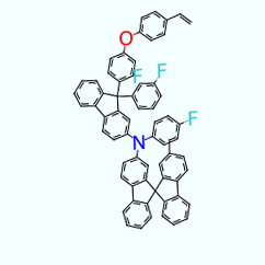 C=Cc1ccc(Oc2ccc(C3(c4cccc(F)c4F)c4ccccc4-c4ccc(N(c5ccc(F)cc5)c5ccc6c(c5)C5(c7ccccc7-c7ccc(C)cc75)c5ccccc5-6)cc43)cc2)cc1